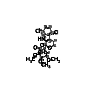 COc1cc(C2(OC(C)=O)OCCc3c2[nH]c2c(Cl)ccc(Cl)c32)cc(OC)c1OC